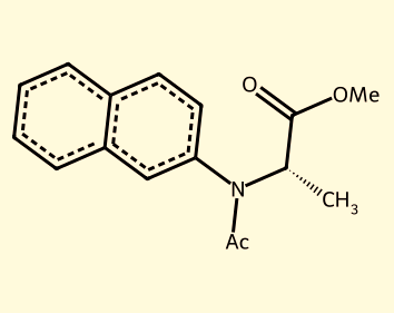 COC(=O)[C@H](C)N(C(C)=O)c1ccc2ccccc2c1